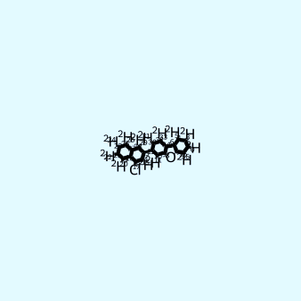 [2H]c1c([2H])c([2H])c2c(oc3c([2H])c(-c4c([2H])c(Cl)c5c([2H])c([2H])c([2H])c([2H])c5c4[2H])c([2H])c([2H])c32)c1[2H]